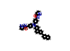 c1ccc2cc(-c3ccc4c(ccc5cc(N(c6ccc(-c7nc8ncccc8o7)cc6)c6ccc(-c7nc8ncccc8o7)cc6)ccc54)c3)ccc2c1